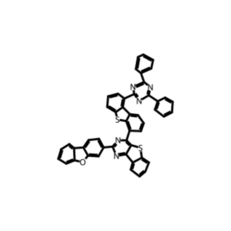 c1ccc(-c2nc(-c3ccccc3)nc(-c3cccc4sc5c(-c6nc(-c7ccc8c(c7)oc7ccccc78)nc7c6sc6ccccc67)cccc5c34)n2)cc1